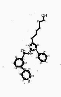 O=C(Nc1nc(CCCCCCO)cn1-c1ccccc1)c1cccc(-c2ccncc2)c1